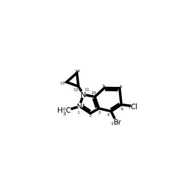 C[n+]1cc2c(Br)c(Cl)ccc2n1C1CC1